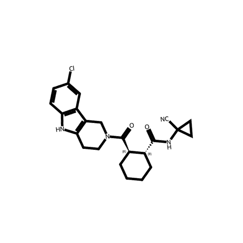 N#CC1(NC(=O)[C@@H]2CCCC[C@H]2C(=O)N2CCc3[nH]c4ccc(Cl)cc4c3C2)CC1